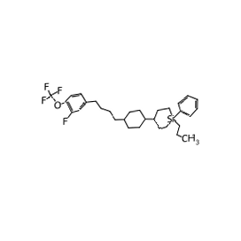 CCC[Si]1(c2ccccc2)CCC(C2CCC(CCCCc3ccc(OC(F)(F)F)c(F)c3)CC2)CC1